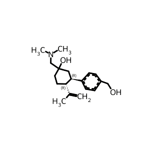 C=C(C)[C@@H]1CCC(O)(CN(C)C)C[C@H]1c1ccc(CO)cc1